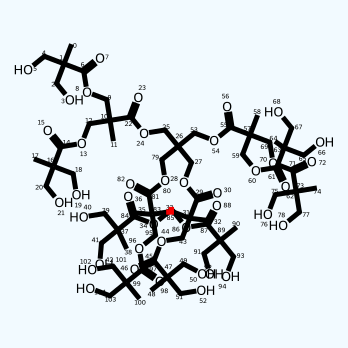 CC(CO)(CO)C(=O)OCC(C)(COC(=O)C(C)(CO)CO)C(=O)OCC(COC(=O)C(C)(COC(=O)C(C)(CO)CO)COC(=O)C(C)(CO)CO)(COC(=O)C(C)(COC(=O)C(C)(CO)CO)COC(=O)C(C)(CO)CO)COC(=O)C(C)(COC(=O)C(C)(CO)CO)COC(=O)C(C)(CO)CO